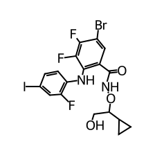 O=C(NOC(CO)C1CC1)c1cc(Br)c(F)c(F)c1Nc1ccc(I)cc1F